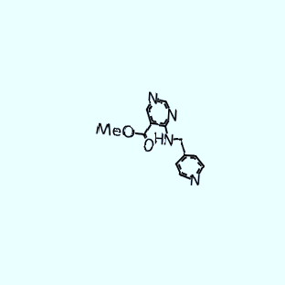 COC(=O)c1cncnc1NCc1ccncc1